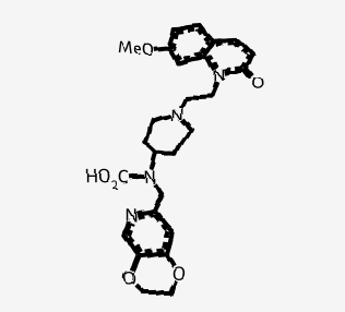 COc1ccc2ccc(=O)n(CCN3CCC(N(Cc4cc5c(cn4)OCCO5)C(=O)O)CC3)c2c1